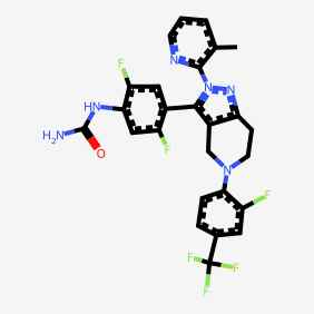 Cc1cccnc1-n1nc2c(c1-c1cc(F)c(NC(N)=O)cc1F)CN(c1ccc(C(F)(F)F)cc1F)CC2